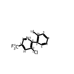 FC(F)(F)c1cnc(-c2ccc[c]c2I)c(Cl)c1